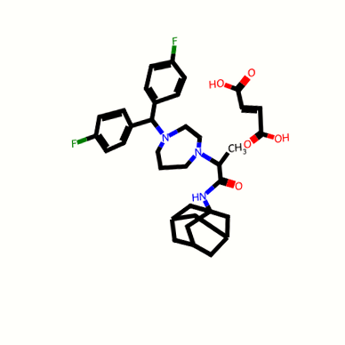 CC(C(=O)NC12CC3CC(CC(C3)C1)C2)N1CCCN(C(c2ccc(F)cc2)c2ccc(F)cc2)CC1.O=C(O)C=CC(=O)O